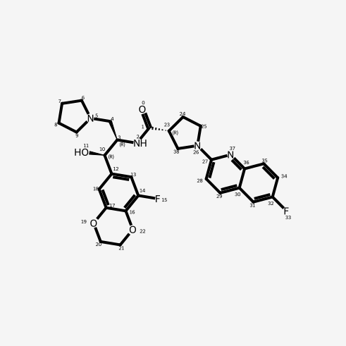 O=C(N[C@H](CN1CCCC1)[C@H](O)c1cc(F)c2c(c1)OCCO2)[C@@H]1CCN(c2ccc3cc(F)ccc3n2)C1